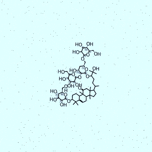 CC(CCC(O[C@@H]1O[C@H](CO[C@@H]2O[C@H](CO)[C@@H](O)[C@H](O)C2O)C[C@H](O)[C@H]1O[C@@H]1O[C@H](CO)[C@@H](O)[C@H](O)[C@H]1O)C(C)(C)O)C1CCC2(C)C3CC=C4C(CCC(O[C@@H]5O[C@H](CO)[C@@H](O)[C@H](O)[C@H]5O)C4(C)C)C3(C)C(=O)CC12C